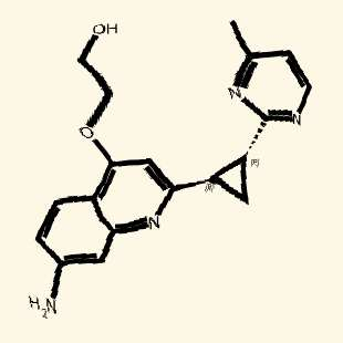 Cc1ccnc([C@@H]2C[C@H]2c2cc(OCCO)c3ccc(N)cc3n2)n1